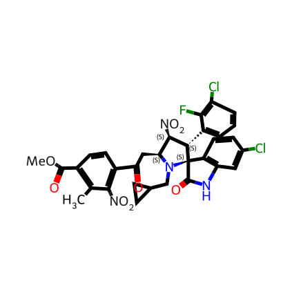 COC(=O)c1ccc(C(=O)C[C@H]2[C@@H]([N+](=O)[O-])[C@H](c3cccc(Cl)c3F)[C@]3(C(=O)Nc4cc(Cl)ccc43)N2CC2CC2)c([N+](=O)[O-])c1C